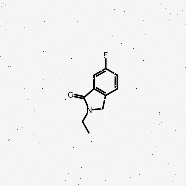 CCN1Cc2ccc(F)cc2C1=O